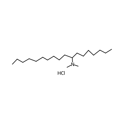 CCCCCCCCCCC(CCCCCCC)N(C)C.Cl